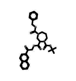 CC(C)(C)OC(=O)N1CCCN(C(=O)OCc2ccccc2)CC1C(=O)OCC(=O)c1ccc2ccccc2c1